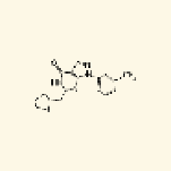 O=c1[nH]c(CC2CCCC2)nc2c1cnn2-c1cccc(C(F)(F)F)c1